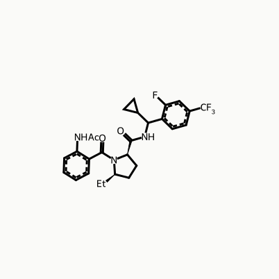 CC[C@@H]1CC[C@H](C(=O)NC(c2ccc(C(F)(F)F)cc2F)C2CC2)N1C(=O)c1ccccc1NC(C)=O